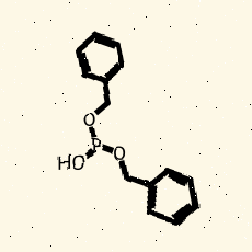 OP(OCc1ccccc1)OCc1ccccc1